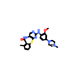 COc1cc(N2CCN(C)CC2)ccc1Nc1ncc2c(n1)Sc1cccc(C)c1C(=O)N2